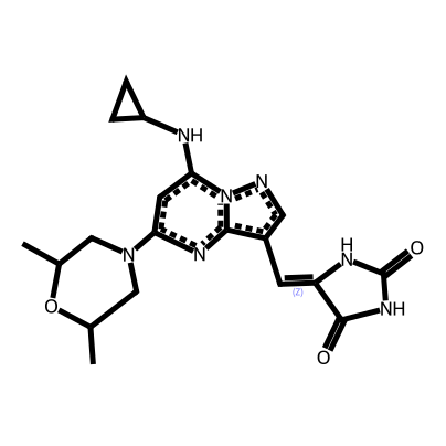 CC1CN(c2cc(NC3CC3)n3ncc(/C=C4\NC(=O)NC4=O)c3n2)CC(C)O1